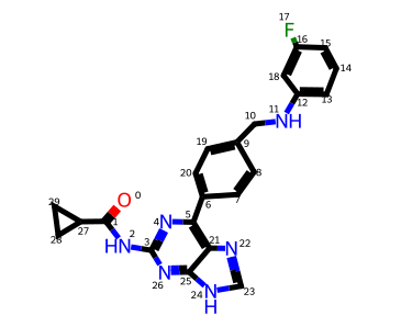 O=C(Nc1nc(-c2ccc(CNc3cccc(F)c3)cc2)c2nc[nH]c2n1)C1CC1